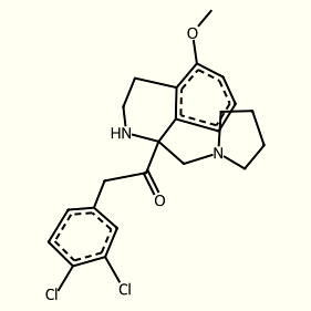 COc1cccc2c1CCNC2(CN1CCCC1)C(=O)Cc1ccc(Cl)c(Cl)c1